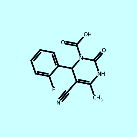 CC1=C(C#N)C(c2ccccc2F)N(C(=O)O)C(=O)N1